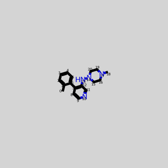 Cc1ccccc1-c1ccncc1NN1CCN(C)CC1